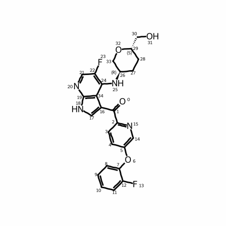 O=C(c1ccc(Oc2ccccc2F)cn1)c1c[nH]c2ncc(F)c(N[C@@H]3CC[C@@H](CO)OC3)c12